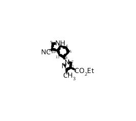 CCOC(=O)c1cn(-c2ccc3[nH]cc(C#N)c3c2)nc1C